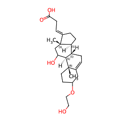 C[C@]12CCC(OCCO)CC1=CC[C@@H]1[C@@H]2C(O)C[C@]2(C)C(=CCC(=O)O)CC[C@@H]12